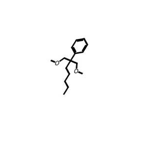 CCCCCC(COC)(COC)c1ccccc1